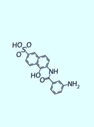 Nc1cccc(C(=O)Nc2ccc3cc(S(=O)(=O)O)ccc3c2O)c1